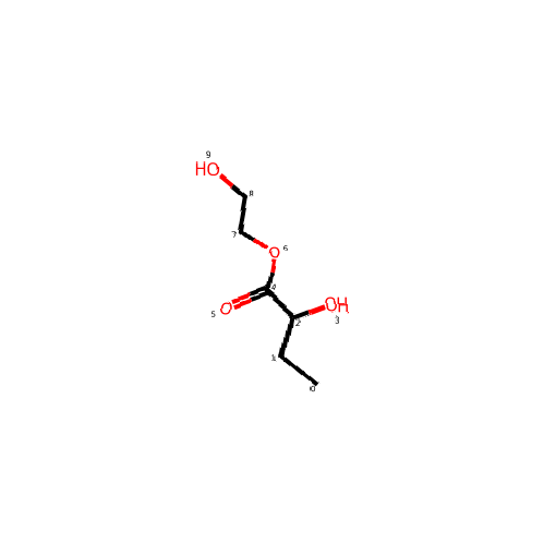 CCC(O)C(=O)OCCO